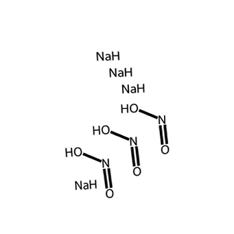 O=NO.O=NO.O=NO.[NaH].[NaH].[NaH].[NaH]